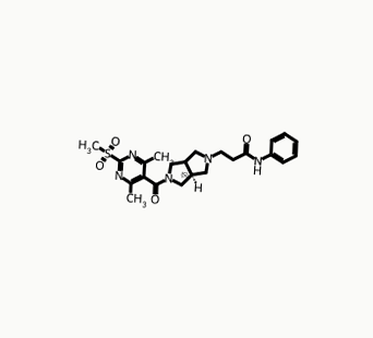 Cc1nc(S(C)(=O)=O)nc(C)c1C(=O)N1CC2CN(CCC(=O)Nc3ccccc3)C[C@H]2C1